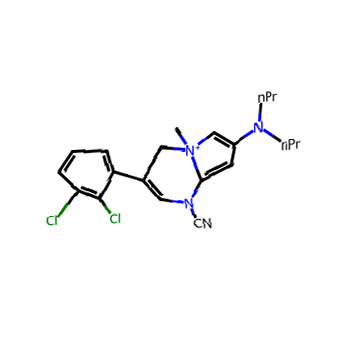 CCCN(CCC)C1=C[N+]2(C)CC(c3cccc(Cl)c3Cl)=CN(C#N)C2=C1